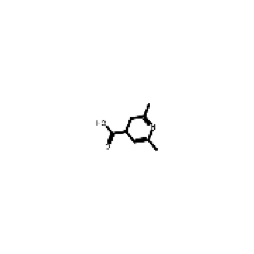 CC1=CC(C(=O)O)CC(C)=N1